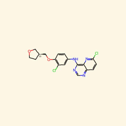 Clc1ccc2ncnc(Nc3ccc(OC[C@H]4CCOC4)c(Cl)c3)c2n1